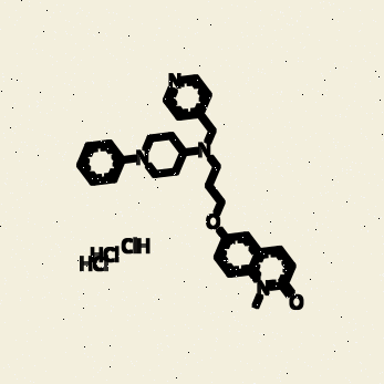 Cl.Cl.Cl.Cn1c(=O)ccc2cc(OCCCN(Cc3ccncc3)C3CCN(c4ccccc4)CC3)ccc21